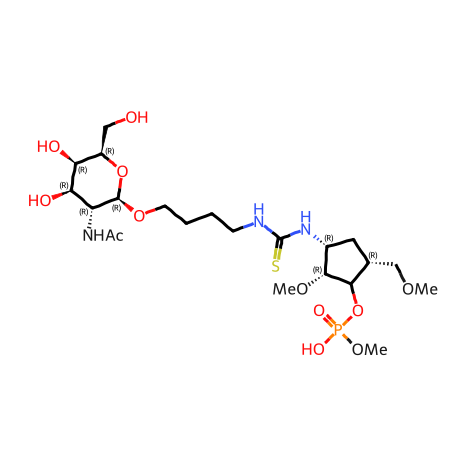 COC[C@H]1C[C@@H](NC(=S)NCCCCO[C@@H]2O[C@H](CO)[C@H](O)[C@H](O)[C@H]2NC(C)=O)[C@@H](OC)C1OP(=O)(O)OC